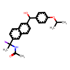 CC(=O)NC(C)(I)c1ccc2cc(C(O)c3ccc(OC(C)C)cc3)ccc2c1